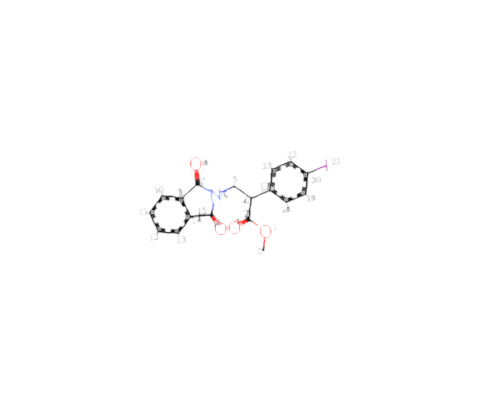 COC(=O)C(CN1C(=O)c2ccccc2C1=O)c1ccc(I)cc1